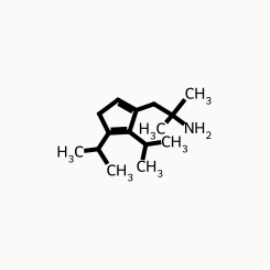 CC(C)C1=C(C(C)C)C(CC(C)(C)N)=CC1